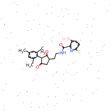 Bc1ccc(F)nc1C(=O)NCCC1CC(=O)C(c2c(C)cc(C)cc2C)C1=O